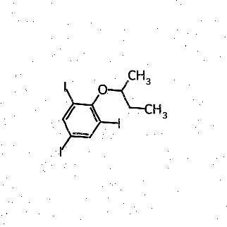 CCC(C)Oc1c(I)cc(I)cc1I